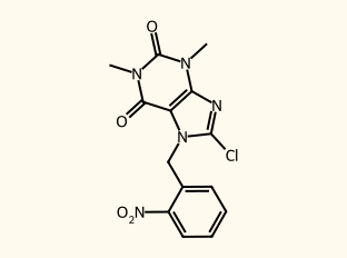 Cn1c(=O)c2c(nc(Cl)n2Cc2ccccc2[N+](=O)[O-])n(C)c1=O